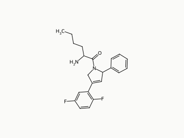 CCCCC(N)C(=O)N1CC(c2cc(F)ccc2F)=CC1c1ccccc1